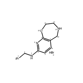 Br.CC(C)CNc1ccc2c(n1)OCCNC2